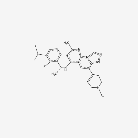 CC(=O)N1CC=C(c2cc3c(N[C@H](C)c4cccc(C(F)F)c4F)nc(C)nc3n3cnnc23)CC1